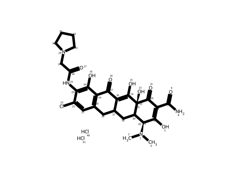 CN(C)[C@@H]1C(O)=C(C(N)=O)C(=O)[C@@]2(O)C(O)=C3C(=O)c4c(cc(Cl)c(NC(=O)CN5CCCC5)c4O)CC3CC12.Cl.Cl